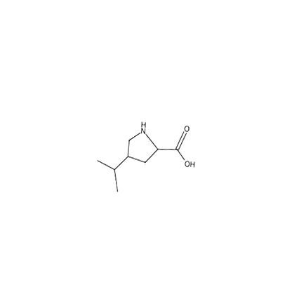 CC(C)C1[CH]C(C(=O)O)NC1